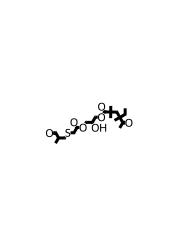 CCC(C)(CC(C)(C)C(=O)OCC(O)COC(=O)CSCC(C)C=O)C(C)=O